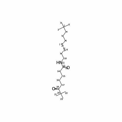 CC(C)(C)CCCSSCCNC(=O)CCCCC(=O)C(C)(C)C